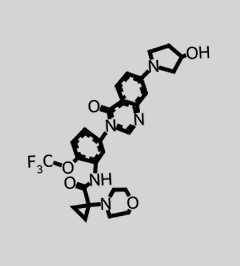 O=C(Nc1cc(-n2cnc3cc(N4CCC(O)C4)ccc3c2=O)ccc1OC(F)(F)F)C1(N2CCOCC2)CC1